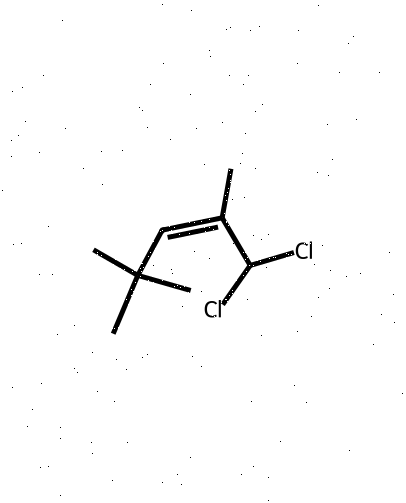 CC(=CC(C)(C)C)C(Cl)Cl